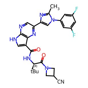 Cc1nc(-c2cnc3[nH]cc(C(=O)N[C@@H](C(=O)N4CC(C#N)C4)C(C)(C)C)c3n2)cn1-c1cc(F)cc(F)c1